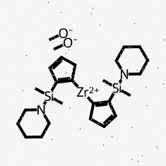 C[O-].C[O-].C[Si](C)(C1=[C]([Zr+2][C]2=C([Si](C)(C)N3CCCCC3)C=CC2)CC=C1)N1CCCCC1